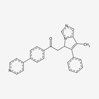 CC1=C(c2ccccc2)C(CC(=O)c2ccc(-c3ccncc3)cc2)n2cncc21